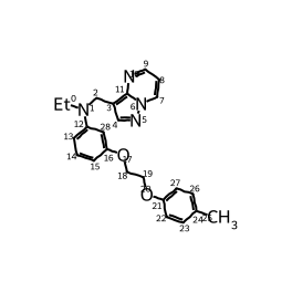 CCN(Cc1cnn2cccnc12)c1cccc(OCCOc2ccc(C)cc2)c1